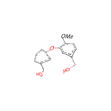 COc1ccc(CO)cc1Oc1cccc(CO)c1